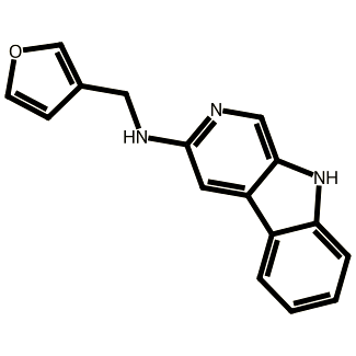 c1ccc2c(c1)[nH]c1cnc(NCc3ccoc3)cc12